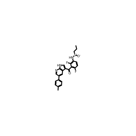 CCC[S+]([O-])Nc1ccc(F)c(C(=O)c2c[nH]c3ncc(-c4ccc(C)cc4)cc23)c1F